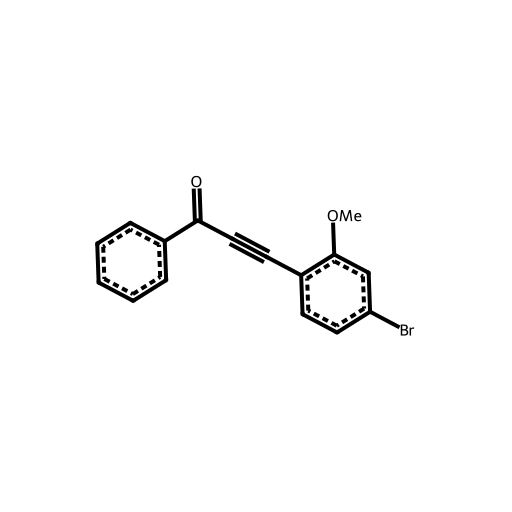 COc1cc(Br)ccc1C#CC(=O)c1ccccc1